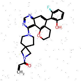 C=CC(=O)N1CC2(CCN(c3ncnc4cc(-c5c(O)cccc5F)c5c(c34)OCCC5)CC2)C1